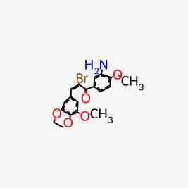 COc1ccc(C(=O)/C(Br)=C\c2cc(OC)c3c(c2)OCCO3)cc1N